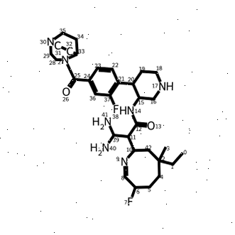 CCC1(C)CCC(F)/C=N\C(C(C(=O)NC2CNCCC2c2ccc(C(=O)N3CCN4CCC3CC4)cc2F)C(N)N)C1